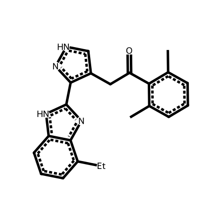 CCc1cccc2[nH]c(-c3n[nH]cc3CC(=O)c3c(C)cccc3C)nc12